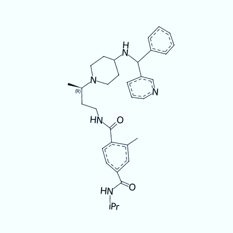 Cc1cc(C(=O)NC(C)C)ccc1C(=O)NCC[C@@H](C)N1CCC(NC(c2ccccc2)c2cccnc2)CC1